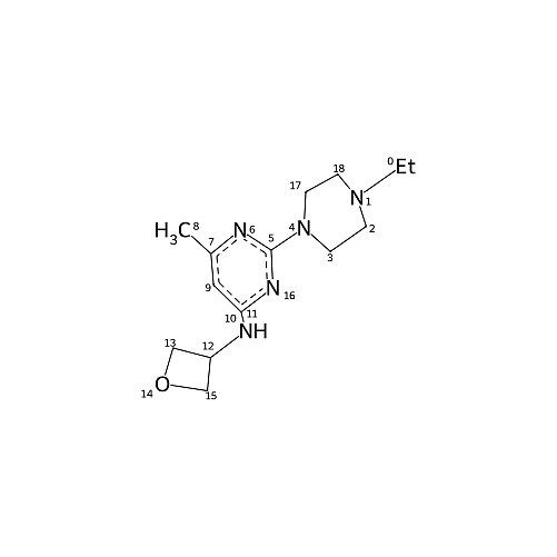 CCN1CCN(c2nc(C)cc(NC3COC3)n2)CC1